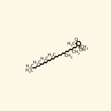 CC(C)=CCC/C(C)=C/C=C/C(C)=C/C=C/C(C)=C/C=C/C=C(C)/C=C/C=C(C)/C=C/C1=C(C)C(=O)CC[C@]1(C)CO